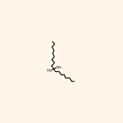 [CH2]CCCCCCCC(O)(O)CCCCCCCCC